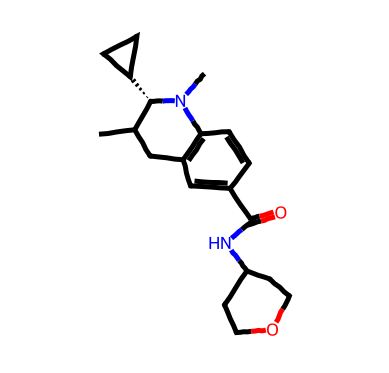 CC1Cc2cc(C(=O)NC3CCOCC3)ccc2N(C)[C@H]1C1CC1